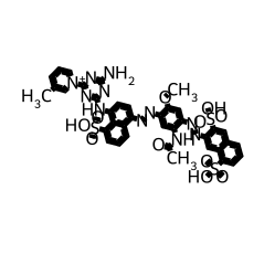 COc1cc(N=Nc2cc3c(S(=O)(=O)O)cccc3cc2S(=O)(=O)O)c(NC(C)=O)cc1N=Nc1ccc(Nc2nc(N)nc(-[n+]3cccc(C)c3)n2)c2c(S(=O)(=O)O)cccc12